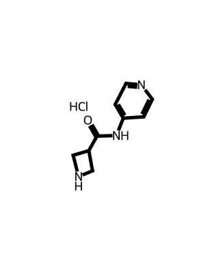 Cl.O=C(Nc1ccncc1)C1CNC1